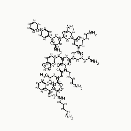 CC(C)CN(CC(=O)N(CCCCN)CC(=O)N(CC(=O)N(CCCCN)CC(=O)N(CCCCN)CC(=O)N(CCN)CC(=O)N(CCc1ccc(-c2ccccc2)cc1)CC(N)=O)Cc1ccc2c(c1)OCO2)C(=O)CN(C(=O)CNCCCCN)C(C)c1ccccc1